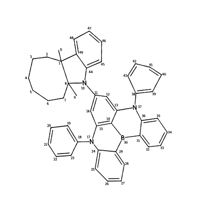 CC12CCCCCCC1(C)N(c1cc3c4c(c1)N(c1ccccc1)c1ccccc1B4c1ccccc1N3c1ccccc1)c1ccccc12